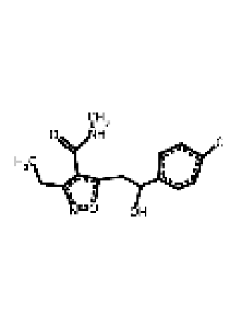 CCc1noc(CC(O)c2ccc(Cl)cc2)c1C(=O)NC